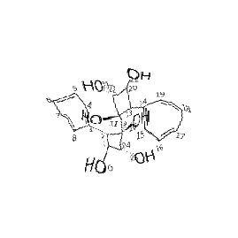 OC1C(c2ccccc2)[C@](O)([C@@]2(O)C(c3ccccc3)C(O)[C@H]2O)[C@@H]1O